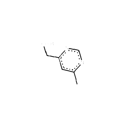 Cc1cc(CC(=O)O)ncn1